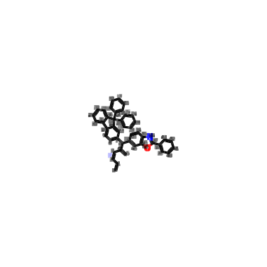 C=C/C=C\C(=C)C(c1ccc2c(c1)C(c1ccccc1)(c1ccccc1)c1ccccc1-2)c1ccc2nc(-c3ccccc3)oc2c1